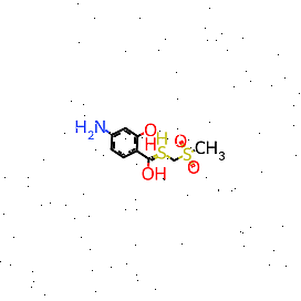 CS(=O)(=O)C[SH]=C(O)c1ccc(N)cc1O